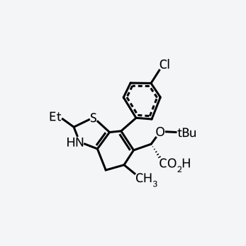 CCC1NC2=C(S1)C(c1ccc(Cl)cc1)=C([C@H](OC(C)(C)C)C(=O)O)C(C)C2